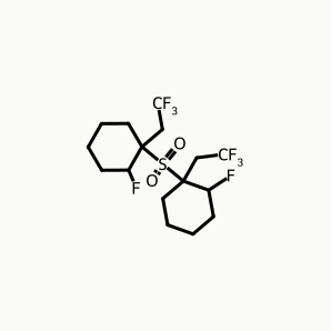 O=S(=O)(C1(CC(F)(F)F)CCCCC1F)C1(CC(F)(F)F)CCCCC1F